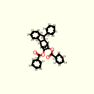 O=C(OC1C2CC(C1OC(=O)c1ccccc1)C1C(c3ccccc3)c3ccccc3C21)c1ccccc1